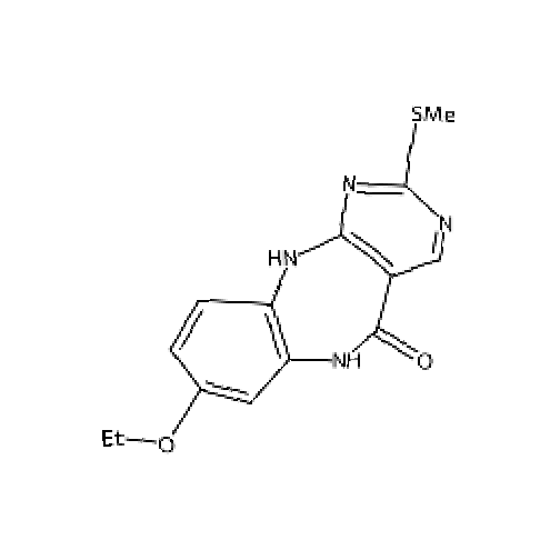 CCOc1ccc2c(c1)NC(=O)c1cnc(SC)nc1N2